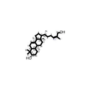 C/C(=C/CC[C@@H](C)C1CC[C@]2(C)C3=CCC4C(C)(C)[C@@H](O)CC[C@]4(C)C3CC[C@@]12C)CO